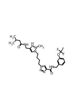 CC(C)CC(=O)NCC1=CN(CCCCn2cc(C(=O)NCc3cccc(OC(F)(F)F)c3)nn2)N(C)N1